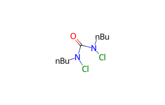 CCCCN(Cl)C(=O)N(Cl)CCCC